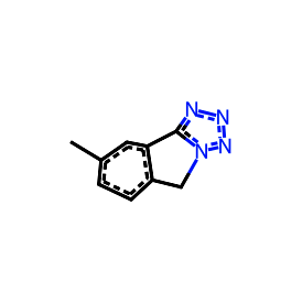 Cc1ccc2c(c1)-c1nnnn1C2